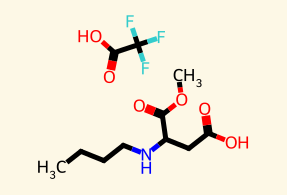 CCCCNC(CC(=O)O)C(=O)OC.O=C(O)C(F)(F)F